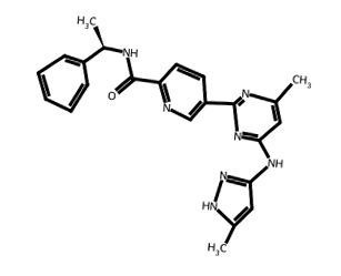 Cc1cc(Nc2cc(C)[nH]n2)nc(-c2ccc(C(=O)N[C@H](C)c3ccccc3)nc2)n1